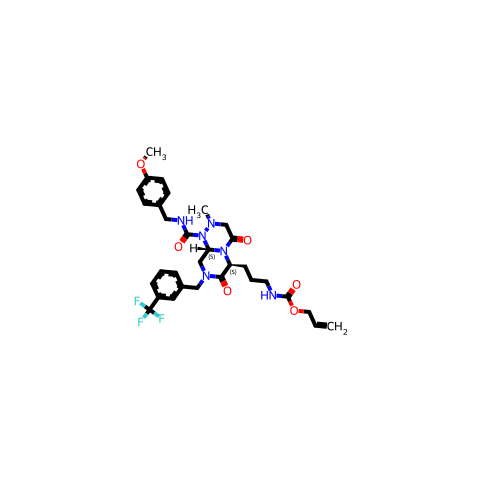 C=CCOC(=O)NCCC[C@H]1C(=O)N(Cc2cccc(C(F)(F)F)c2)C[C@H]2N1C(=O)CN(C)N2C(=O)NCc1ccc(OC)cc1